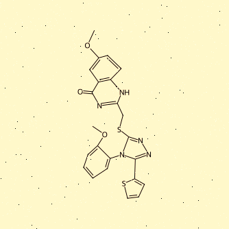 COc1ccc2[nH]c(CSc3nnc(-c4cccs4)n3-c3ccccc3OC)nc(=O)c2c1